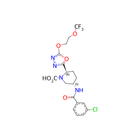 O=C(N[C@H]1CC[C@H](c2nnc(OCCOC(F)(F)F)o2)N(C(=O)O)C1)c1cccc(Cl)c1